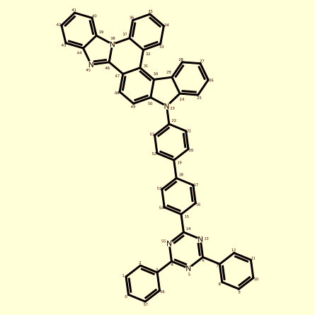 c1ccc(-c2nc(-c3ccccc3)nc(-c3ccc(-c4ccc(-n5c6ccccc6c6c7c8ccccc8n8c9ccccc9nc8c7ccc65)cc4)cc3)n2)cc1